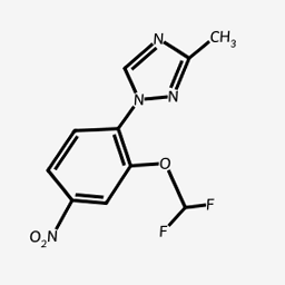 Cc1ncn(-c2ccc([N+](=O)[O-])cc2OC(F)F)n1